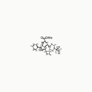 COC(=O)c1cc(N2CCC(C(C)(O)C(F)(F)F)CC2)c2c(n1)N(c1ccccc1)NC2C1CCC1